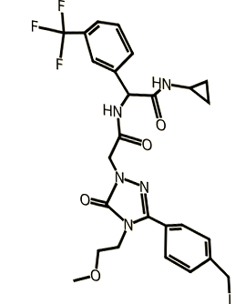 COCCn1c(-c2ccc(CI)cc2)nn(CC(=O)NC(C(=O)NC2CC2)c2cccc(C(F)(F)F)c2)c1=O